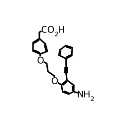 Nc1ccc(OCCCOc2ccc(CC(=O)O)cc2)c(C#Cc2ccccc2)c1